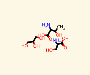 CC(O)C(N)C(=O)O.NC(CO)C(=O)O.OCC(O)CO